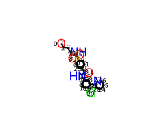 COCCCNS(=O)(=O)c1ccc(C(=O)Nc2ccc(Cl)c(-c3ccccn3)c2)cc1